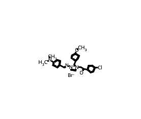 COc1ccc(-c2n(CC(=O)c3ccc(Cl)cc3)cc[n+]2N=Cc2ccc(N(C)C)cc2)cc1.[Br-]